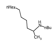 CCCCCCCCCCC(C)NCCCC